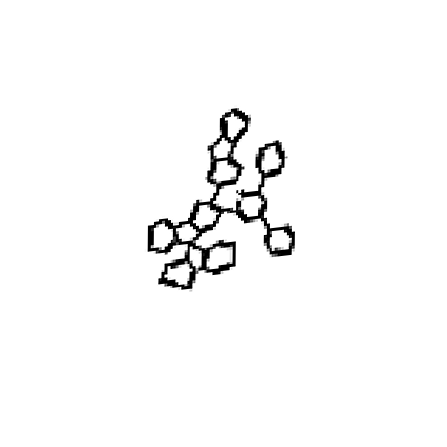 c1ccc(-c2cc(-c3ccccc3)nc(-c3cc4c(cc3-c3ccc5c(c3)Cc3ccccc3-5)-c3ccccc3C4(c3ccccc3)c3ccccc3)c2)cc1